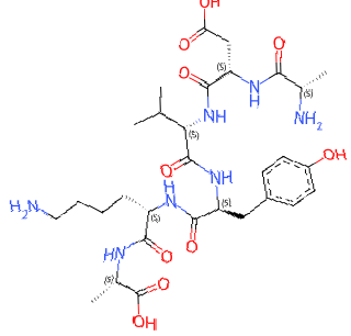 CC(C)[C@H](NC(=O)[C@H](CC(=O)O)NC(=O)[C@H](C)N)C(=O)N[C@@H](Cc1ccc(O)cc1)C(=O)N[C@@H](CCCCN)C(=O)N[C@@H](C)C(=O)O